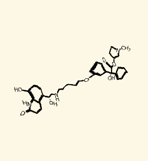 CN1CC[C@H](OC(=O)[C@@](O)(c2ccccc2)c2cccc(OCCCCCNC[C@H](O)c3ccc(O)c4[nH]c(=O)ccc34)c2)C1